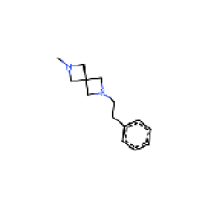 CN1CC2(C1)CN(CCc1ccccc1)C2